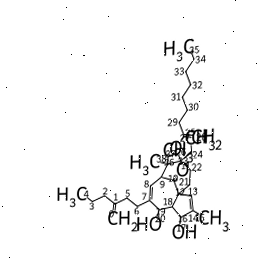 C=C(CCC)CCC1=CC2C(=O)C3(C=C(C)C(O)C3C1O)CC[C@@](CC)(OC(=C)CCCCCCC)C2(C)C